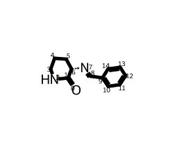 O=C1NCCC[C@@H]1/N=C/c1ccccc1